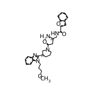 COCCCn1c([C@@H]2CCCN(C(=O)C[C@@H](N)CNC(=O)c3cc4ccccc4o3)C2)nc2ccccc21